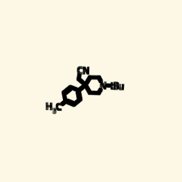 Cc1ccc(C2(CC#N)CCN(C(C)(C)C)CC2)cc1